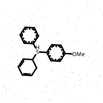 COc1ccc([SH](c2ccccc2)C2C=CC=CC2)cc1